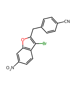 N#Cc1ccc(Cc2oc3cc([N+](=O)[O-])ccc3c2Br)cc1